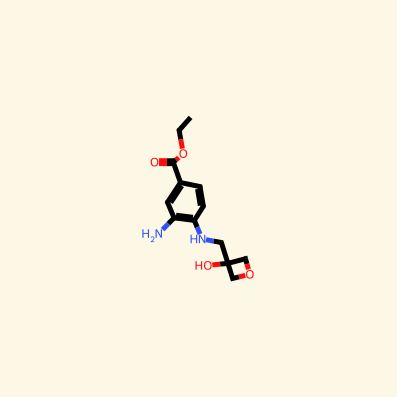 CCOC(=O)c1ccc(NCC2(O)COC2)c(N)c1